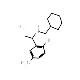 CC(NCC1CCCCC1)c1cc(N)ccc1N.Cl